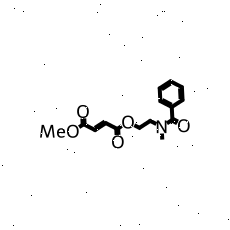 COC(=O)/C=C/C(=O)OCCN(C)C(=O)c1ccccc1